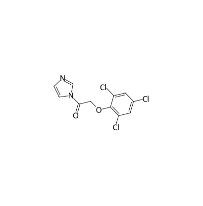 O=C(COc1c(Cl)cc(Cl)cc1Cl)n1ccnc1